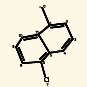 [CH2]c1cccc2c(Cl)cccc12